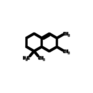 CC1C=C2CCCC(C)(C)C2CC1C